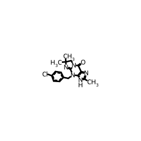 Cc1nc2c([nH]1)N(Cc1ccc(Cl)cc1)C1=NC(C)(C)CN1C2=O